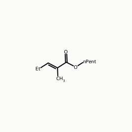 CC/C=C(\C)C(=O)OCCCCC